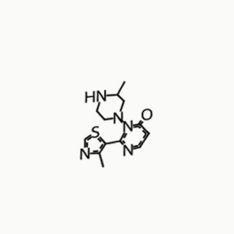 Cc1ncsc1-c1nccc(=O)n1N1CCNC(C)C1